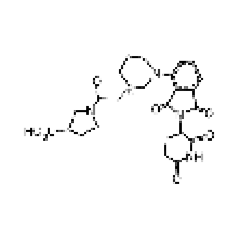 O=C1CCC(N2C(=O)c3cccc(N4CCC[C@@H](CC(=O)N5CCC(C(=O)O)C5)C4)c3C2=O)C(=O)N1